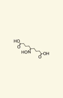 O=C(O)CCCC(CCCC(=O)O)=NO